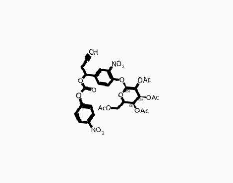 C#CCC(OC(=O)Oc1ccc([N+](=O)[O-])cc1)c1ccc(O[C@@H]2OC(COC(C)=O)[C@H](OC(C)=O)[C@H](OC(C)=O)C2OC(C)=O)c([N+](=O)[O-])c1